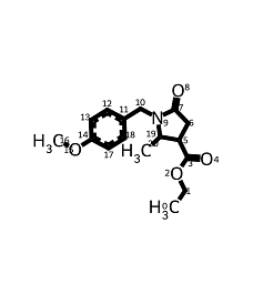 CCOC(=O)C1CC(=O)N(Cc2ccc(OC)cc2)C1C